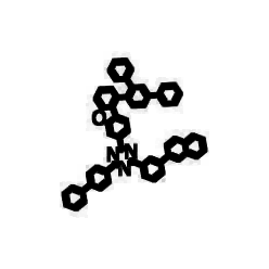 c1ccc(-c2ccc(-c3nc(-c4cccc(-c5ccc6ccccc6c5)c4)nc(-c4ccc5c(c4)oc4cccc(-c6ccc(-c7ccccc7)cc6-c6ccccc6)c45)n3)cc2)cc1